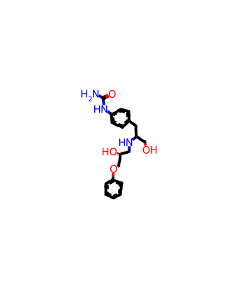 NC(=O)Nc1ccc(CC(CO)NC[C@H](O)COc2ccccc2)cc1